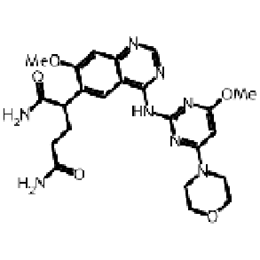 COc1cc(N2CCOCC2)nc(Nc2ncnc3cc(OC)c(C(CCC(N)=O)C(N)=O)cc23)n1